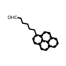 O=CCCCCCc1ccc2ccc3cccc4ccc1c2c34